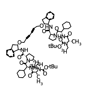 [2H]CN(C(=O)OC(C)(C)C)[C@@H](C)C(=O)N[C@H](C(=O)N1CCC[C@H]1C(=O)N[C@H]1c2ccccc2C[C@H]1OCC#CC#CCO[C@@H]1Cc2ccccc2[C@@H]1NC(=O)[C@@H]1CCCN1C(=O)[C@@H](NC(=O)[C@H](C)N(C(=O)OC(C)(C)C)[13C]([2H])([2H])[2H])C1CCCCC1)C1CCCCC1